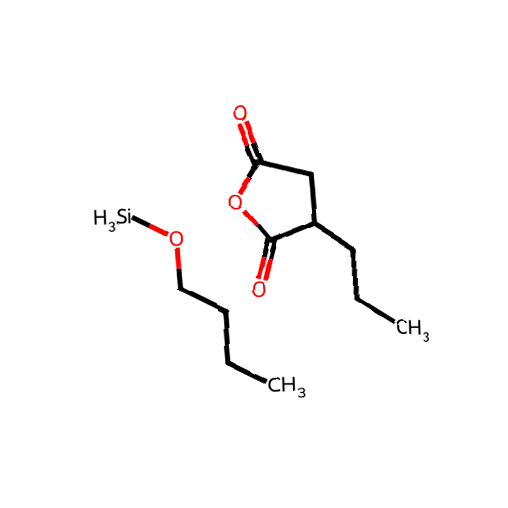 CCCC1CC(=O)OC1=O.CCCCO[SiH3]